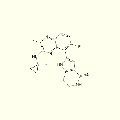 Cc1nc2ccc(F)c(-c3cc4c([nH]3)CCNC4=O)c2nc1NC1(C)CC1